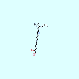 CCC(C)C/C=C/CCCCCCCC(=O)C=O